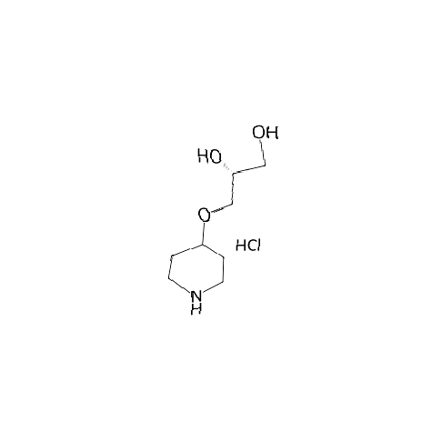 Cl.OC[C@@H](O)COC1CCNCC1